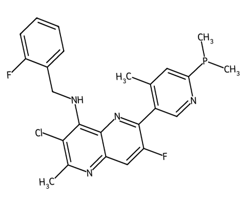 Cc1cc(P(C)C)ncc1-c1nc2c(NCc3ccccc3F)c(Cl)c(C)nc2cc1F